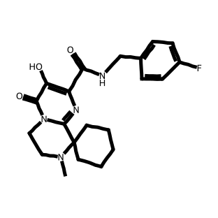 CN1CCn2c(nc(C(=O)NCc3ccc(F)cc3)c(O)c2=O)C12CCCCC2